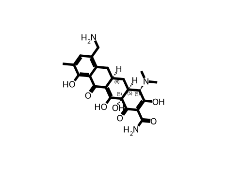 Cc1cc(CN)c2c(c1O)C(=O)C1=C(O)[C@]3(O)C(=O)C(C(N)=O)=C(O)[C@@H](N(C)C)[C@@H]3C[C@@H]1C2